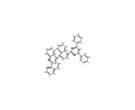 c1ccc(-c2nc(-c3ccccc3)nc(-c3ccc(-c4c5ccccc5nc5c4ccc4cccnc45)c4ccccc34)n2)cc1